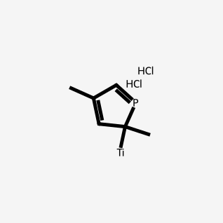 CC1=C[C](C)([Ti])P=C1.Cl.Cl